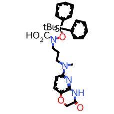 CN(CCCN(O[Si](c1ccccc1)(c1ccccc1)C(C)(C)C)C(=O)O)c1ccc2c(n1)NC(=O)CO2